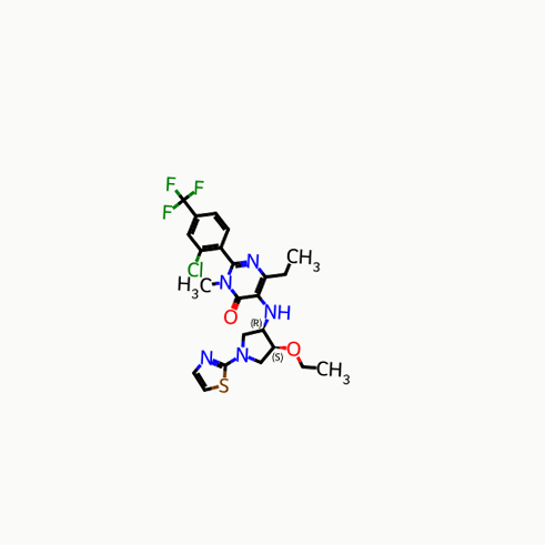 CCO[C@H]1CN(c2nccs2)C[C@H]1Nc1c(CC)nc(-c2ccc(C(F)(F)F)cc2Cl)n(C)c1=O